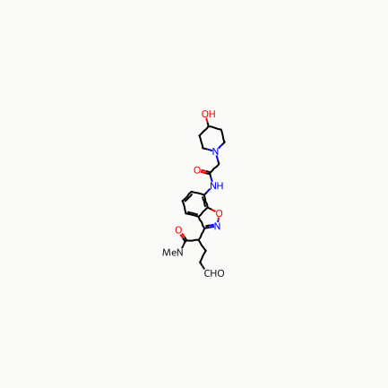 CNC(=O)C(CCC=O)c1noc2c(NC(=O)CN3CCC(O)CC3)cccc12